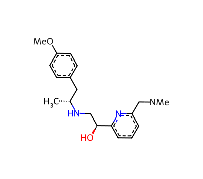 CNCc1cccc([C@@H](O)CN[C@H](C)Cc2ccc(OC)cc2)n1